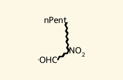 CCCCC/C=C/C/C=C/C/C=C/C/C=C(/C/C=C/CC[C]=O)[N+](=O)[O-]